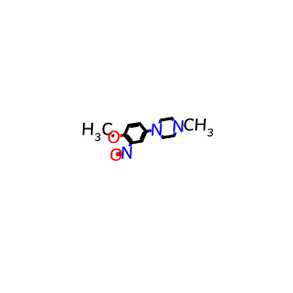 COc1ccc(N2CCN(C)CC2)cc1N=O